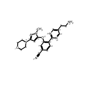 Cn1nc(N2CCOCC2)cc1Oc1cc(C#N)ccc1-c1ncc(CCN)cn1